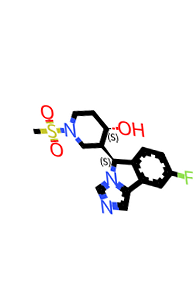 CS(=O)(=O)N1CC[C@H](O)C([C@H]2c3ccc(F)cc3-c3cncn32)C1